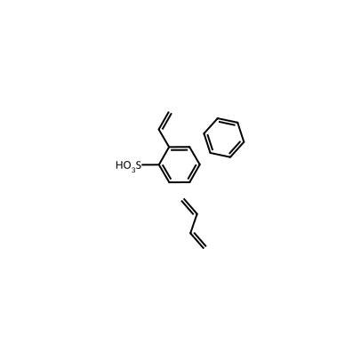 C=CC=C.C=Cc1ccccc1S(=O)(=O)O.c1ccccc1